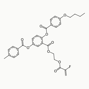 C=C(F)C(=O)OCCOC(=O)c1cc(OC(=O)c2ccc(C)cc2)ccc1OC(=O)c1ccc(OCCCC)cc1